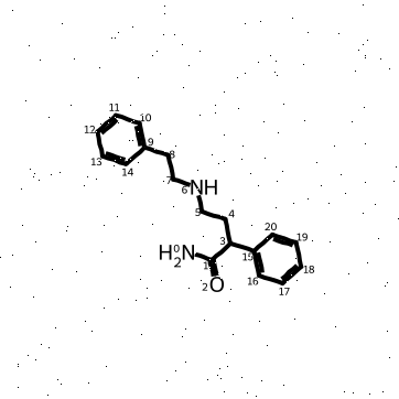 NC(=O)C(CCNCCc1ccccc1)c1ccccc1